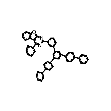 c1ccc(-c2ccc(-c3cc(-c4ccc(-c5ccccc5)cc4)cc(-c4cccc(-c5nc(-c6ccccc6)c6c(n5)oc5ccccc56)c4)c3)cc2)cc1